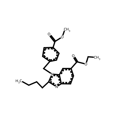 CCCCc1nc2ccc(C(=O)OCC)cc2n1Cc1ccc(C(=O)OC)cc1